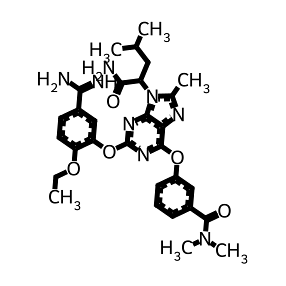 CCOc1ccc(C(=N)N)cc1Oc1nc(Oc2cccc(C(=O)N(C)C)c2)c2nc(C)n(C(CC(C)C)C(N)=O)c2n1